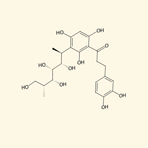 C[C@H](CO)[C@@H](O)[C@H](O)[C@@H](O)[C@@H](C)c1c(O)cc(O)c(C(=O)CCc2ccc(O)c(O)c2)c1O